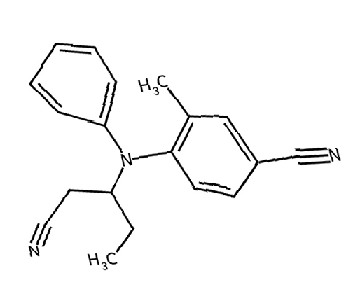 CCC(CC#N)N(c1ccccc1)c1ccc(C#N)cc1C